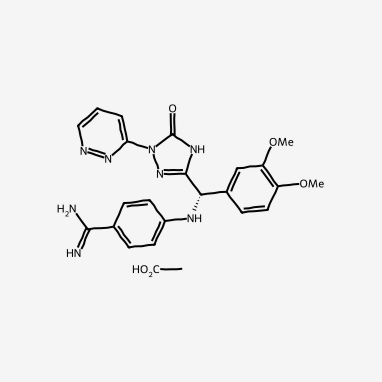 CC(=O)O.COc1ccc([C@H](Nc2ccc(C(=N)N)cc2)c2nn(-c3cccnn3)c(=O)[nH]2)cc1OC